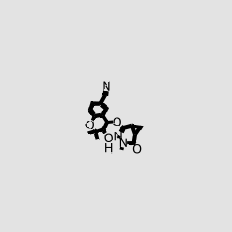 CN1N=C(OC2c3cc(C#N)ccc3OC(C)(C)C2O)C2CC2C1=O